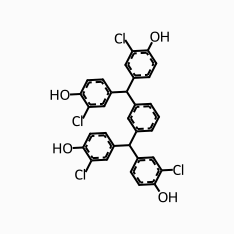 Oc1ccc(C(c2cccc(C(c3ccc(O)c(Cl)c3)c3ccc(O)c(Cl)c3)c2)c2ccc(O)c(Cl)c2)cc1Cl